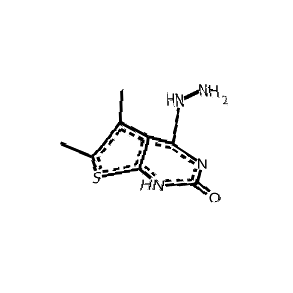 Cc1sc2[nH]c(=O)nc(NN)c2c1C